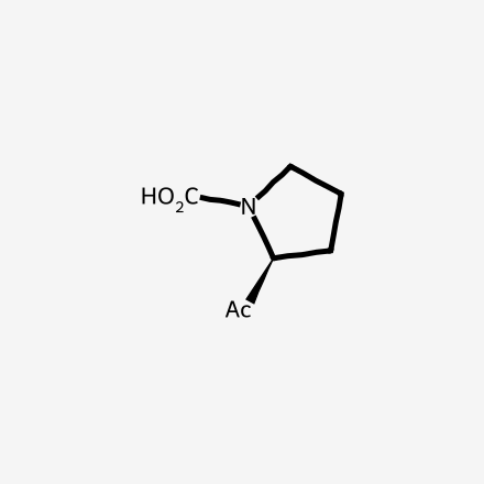 CC(=O)[C@@H]1CCCN1C(=O)O